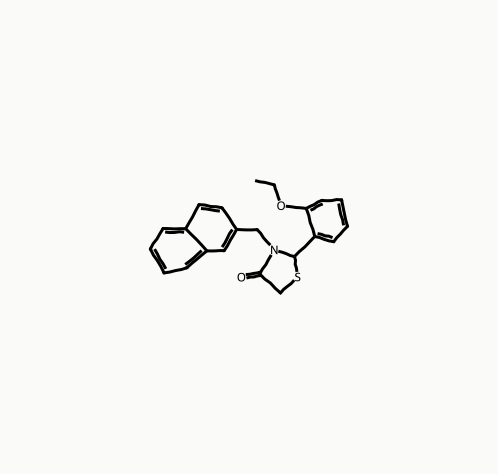 CCOc1ccccc1C1SCC(=O)N1Cc1ccc2ccccc2c1